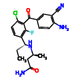 CC[C@@H](N[C@@H](C)CC(N)=O)c1ccc(Cl)c(C(=O)c2ccc(N)c(C#N)c2)c1F